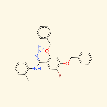 Cc1ccccc1NC(=NN)c1cc(Br)c(OCc2ccccc2)cc1OCc1ccccc1